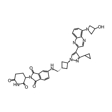 O=C1CCC(N2C(=O)c3ccc(NC[C@H]4C[C@H](n5cc(-c6cnc7c(N8CC(O)C8)cccc7n6)c(C6CC6)n5)C4)cc3C2=O)C(=O)N1